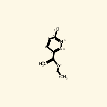 C=C(OCC)c1ccc(Cl)nn1